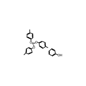 Cc1ccc(OP(Oc2ccc(C)cc2)Oc2ccc(C)cc2)cc1.Oc1ccccc1